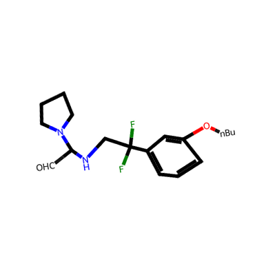 CCCCOc1cccc(C(F)(F)CNC(C=O)N2CCCC2)c1